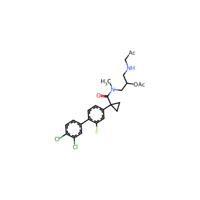 CC(=O)CNCC(CN(C)C(=O)C1(c2ccc(-c3ccc(Cl)c(Cl)c3)c(F)c2)CC1)OC(C)=O